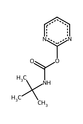 CC(C)(C)NC(=O)Oc1ncccn1